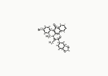 CC(c1nc2ccccc2c(=O)n1-c1ccc(Br)cc1)N(C)C(=O)c1ccc2c(c1)OCO2